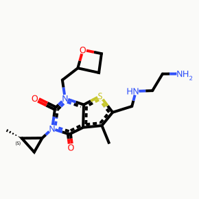 Cc1c(CNCCN)sc2c1c(=O)n(C1C[C@@H]1C)c(=O)n2CC1CCO1